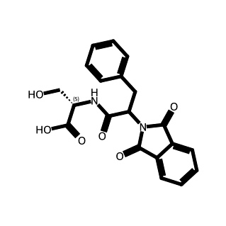 O=C(N[C@@H](CO)C(=O)O)C(Cc1ccccc1)N1C(=O)c2ccccc2C1=O